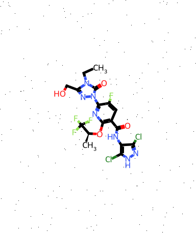 CCn1c(CO)nn(-c2nc(O[C@@H](C)C(F)(F)F)c(C(=O)Nc3c(Cl)n[nH]c3Cl)cc2F)c1=O